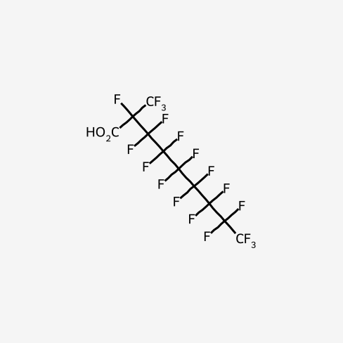 O=C(O)C(F)(C(F)(F)F)C(F)(F)C(F)(F)C(F)(F)C(F)(F)C(F)(F)C(F)(F)C(F)(F)F